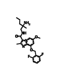 CCCC(C)(N)CNC(=O)c1c(C)nc2c(OCc3c(F)cccc3F)cc(OC)cn12